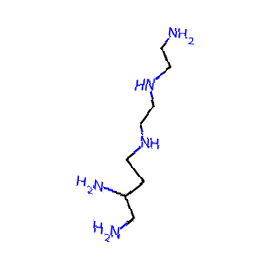 NCCNCCNCCC(N)CN